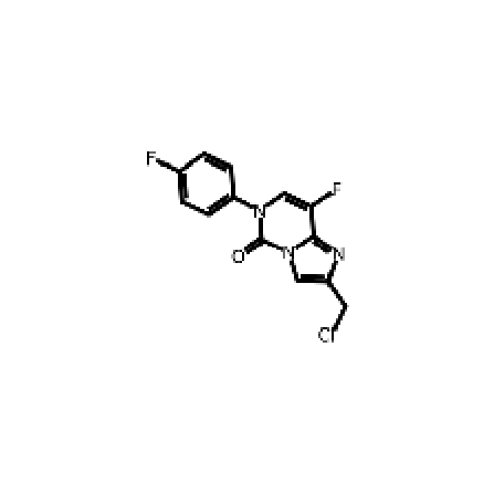 O=c1n(-c2ccc(F)cc2)cc(F)c2nc(CCl)cn12